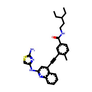 CCC(CC)CCNC(=O)c1ccc(C)c(C#Cc2cc(Nc3csc(N)n3)nc3ccccc23)c1